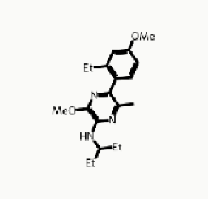 CCc1cc(OC)ccc1-c1nc(OC)c(NC(CC)CC)nc1C